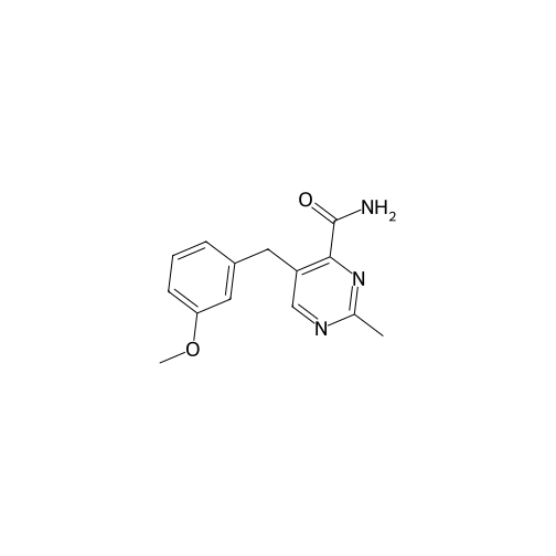 COc1cccc(Cc2cnc(C)nc2C(N)=O)c1